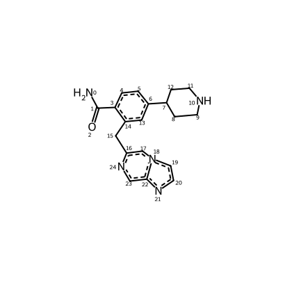 NC(=O)c1ccc(C2CCNCC2)cc1Cc1cn2ccnc2cn1